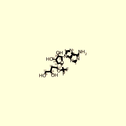 Nc1ncnc2c1ncn2[C@@H]1O[C@H](C(CC(O)CO)OC(F)(F)F)[C@@H](O)[C@H]1O